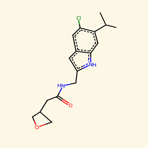 CC(C)c1cc2[nH]c(CNC(=O)CC3COC3)cc2cc1Cl